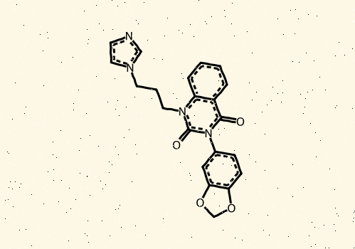 O=c1c2ccccc2n(CCCn2ccnc2)c(=O)n1-c1ccc2c(c1)OCO2